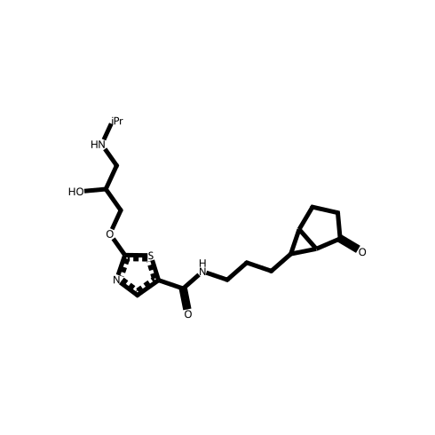 CC(C)NCC(O)COc1ncc(C(=O)NCCCC2C3CCC(=O)C23)s1